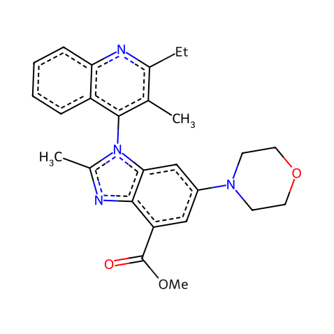 CCc1nc2ccccc2c(-n2c(C)nc3c(C(=O)OC)cc(N4CCOCC4)cc32)c1C